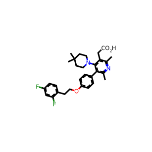 Cc1nc(C)c(-c2ccc(OCCc3ccc(F)cc3F)cc2)c(N2CCC(C)(C)CC2)c1CC(=O)O